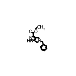 CCOC(=O)c1n[nH]c2c1CN(Cc1ccccc1)C2